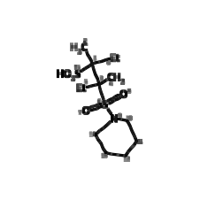 CCC(C)(C(C)(CC)S(=O)(=O)N1CCCCC1)S(=O)(=O)O